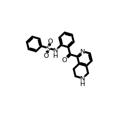 O=C(c1ccccc1NS(=O)(=O)c1ccccc1)c1nccc2c1CCNC2